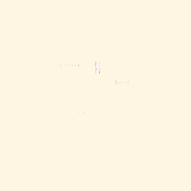 C=CC(=O)OCC(CCCCCC)NCCCCCCC